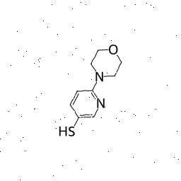 Sc1ccc(N2CCOCC2)nc1